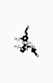 Cc1cc(/C=C/C#N)cc(C)c1Oc1nc(NC23CC(C#N)(C2)C3)nc2ccn(C)c12